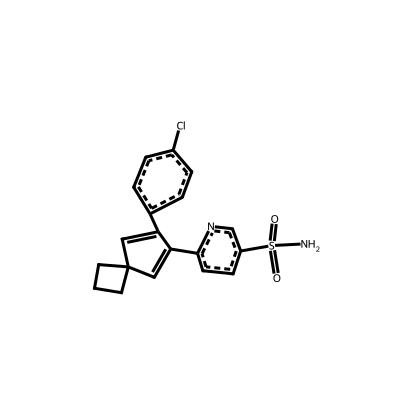 NS(=O)(=O)c1ccc(C2=CC3(C=C2c2ccc(Cl)cc2)CCC3)nc1